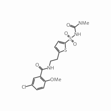 CNC(=O)NS(=O)(=O)c1ccc(CCNC(=O)c2cc(Cl)ccc2OC)s1